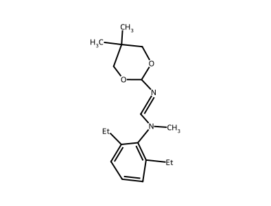 CCc1cccc(CC)c1N(C)C=NC1OCC(C)(C)CO1